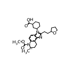 COC(=O)N1c2ccc3c(nc(CCC4CCCO4)n3C3CCCC(C(=O)O)C3)c2CC[C@@H]1C